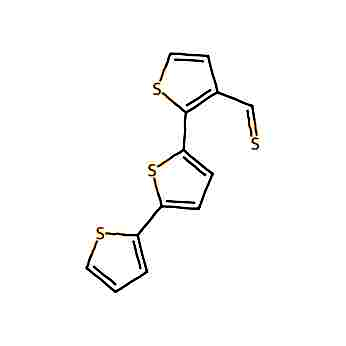 S=Cc1ccsc1-c1ccc(-c2cccs2)s1